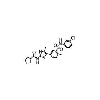 Cc1ccc(-c2sc(NC(=O)C3CCCC3)nc2C)cc1S(=O)(=O)Nc1cccc(Cl)c1